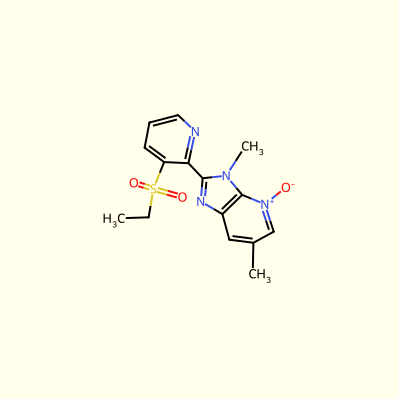 CCS(=O)(=O)c1cccnc1-c1nc2cc(C)c[n+]([O-])c2n1C